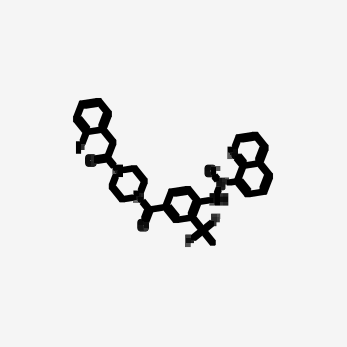 CC(F)(F)c1cc(C(=O)N2CCN(C(=O)Cc3ccccc3F)CC2)ccc1N[S+]([O-])c1cccc2cccnc12